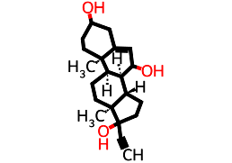 C#CC1(O)CC[C@H]2[C@@H]3C(O)C=C4CC(O)CC[C@]4(C)[C@@H]3CC[C@@]21C